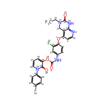 O=C(Nc1ccc(Oc2ccnc3c2CN(CC(F)(F)F)C(=O)N3)c(F)c1)Oc1cccn(-c2ccc(F)cc2)c1=O